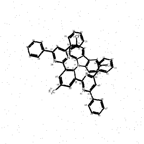 N#Cc1ccc2c(c1)c1cc(C(F)(F)F)ccc1n2-c1c(-c2nc(-c3ccccc3)cc(-c3ccccc3)n2)cc(C(F)(F)F)cc1-c1nc(-c2ccccc2)cc(-c2ccccc2)n1